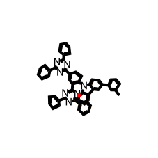 Cc1cccc(-c2ccc3c(c2)c2ccccc2n3-c2ccc(-c3nc(-c4ccccc4)nc(-c4ccccc4)n3)cc2-c2nc(-c3ccccc3)nc(-c3ccccc3)n2)c1